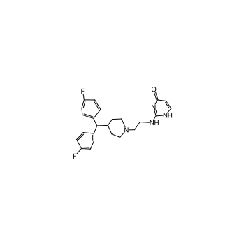 O=c1cc[nH]c(NCCN2CCC(C(c3ccc(F)cc3)c3ccc(F)cc3)CC2)n1